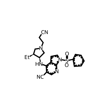 CC[C@H]1CN(CCC#N)C[C@H]1Nc1c(C#N)cnc2c1ccn2S(=O)(=O)c1ccccc1